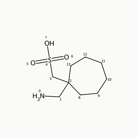 NCC1(CS(=O)(=O)O)CCCCCC1